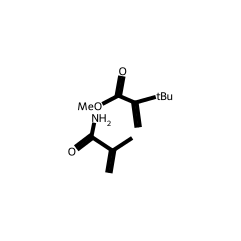 C=C(C(=O)OC)C(C)(C)C.C=C(C)C(N)=O